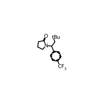 CC(C)(C)CC(c1ccc(C(F)(F)F)cc1)N1CCCC1=O